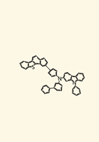 c1ccc(-c2cccc(N(c3ccc(-c4ccc5ccc6c7ccccc7sc6c5c4)cc3)c3ccc4c5ccccc5n(-c5ccccc5)c4c3)c2)cc1